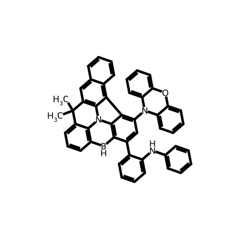 CC1(C)c2cccc3c2-n2c4c(c(-c5ccccc5Nc5ccccc5)cc(N5c6ccccc6Oc6ccccc65)c4c4c5ccccc5cc1c42)B3